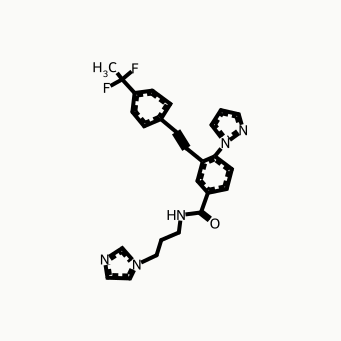 CC(F)(F)c1ccc(C#Cc2cc(C(=O)NCCCn3ccnc3)ccc2-n2cccn2)cc1